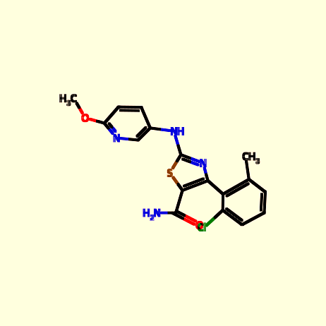 COc1ccc(Nc2nc(-c3c(C)cccc3Cl)c(C(N)=O)s2)cn1